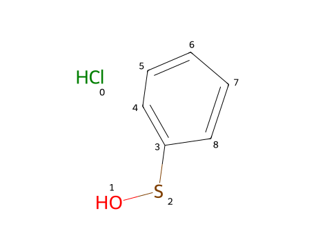 Cl.OSc1ccccc1